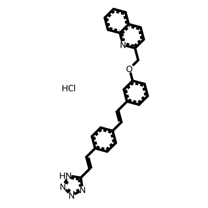 C(=C\c1cccc(OCc2ccc3ccccc3n2)c1)/c1ccc(/C=C/c2nnn[nH]2)cc1.Cl